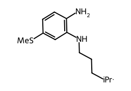 CSc1ccc(N)c(NCCC[C](C)C)c1